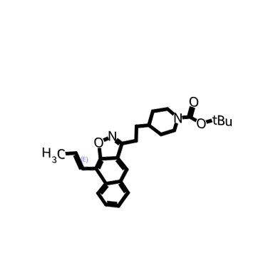 C/C=C/c1c2ccccc2cc2c(CCC3CCN(C(=O)OC(C)(C)C)CC3)noc12